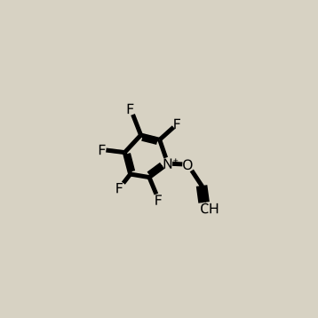 C#CO[n+]1c(F)c(F)c(F)c(F)c1F